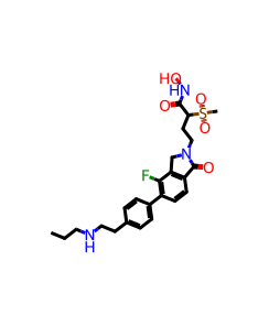 CCCNCCc1ccc(-c2ccc3c(c2F)CN(CCC(C(=O)NO)S(C)(=O)=O)C3=O)cc1